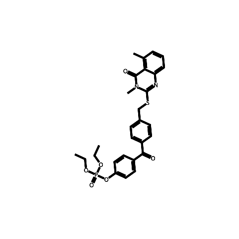 CCOP(=O)(OCC)Oc1ccc(C(=O)c2ccc(CSc3nc4cccc(C)c4c(=O)n3C)cc2)cc1